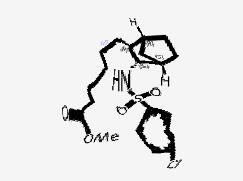 COC(=O)CCC/C=C\[C@H]1[C@@H]2CC[C@@H](C2)[C@@H]1NS(=O)(=O)c1ccc(Cl)cc1